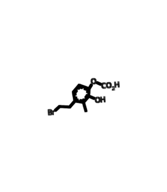 Cc1c(CCBr)ccc(OC(=O)O)c1O